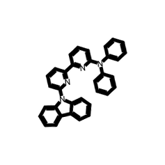 c1ccc(N(c2ccccc2)c2cccc(-c3cccc(-n4c5ccccc5c5ccccc54)n3)n2)cc1